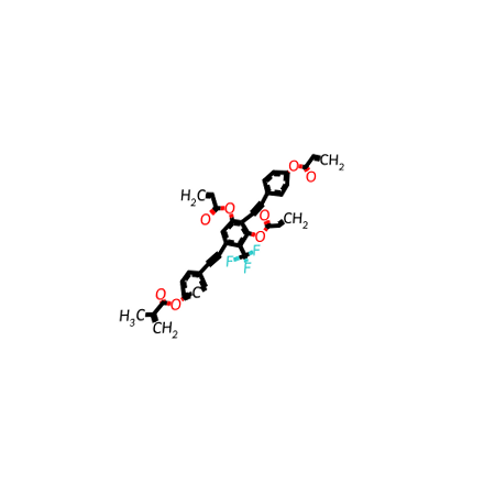 C=CC(=O)Oc1ccc(C#Cc2c(OC(=O)C=C)cc(C#Cc3ccc(OC(=O)C(=C)C)cc3)c(C(F)(F)F)c2OC(=O)C=C)cc1